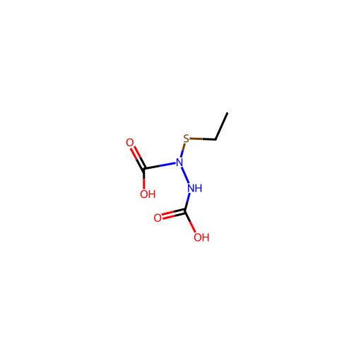 CCSN(NC(=O)O)C(=O)O